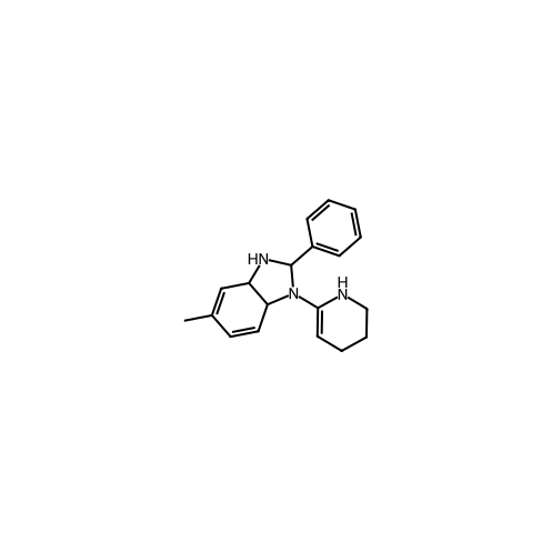 CC1=CC2NC(c3ccccc3)N(C3=CCCCN3)C2C=C1